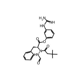 CC(C)(C)CC(=O)N(NC=O)[C@@H](Cc1ccccc1)C(=O)Oc1cccc(NC(=N)N)c1